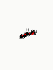 O=Cc1ccc(COC(=O)Nc2ccc3cc(-c4nc5ccccc5o4)ccc3c2)cc1O